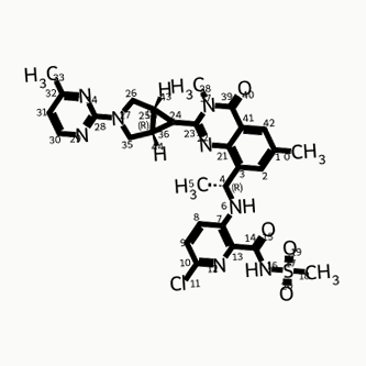 Cc1cc([C@@H](C)Nc2ccc(Cl)nc2C(=O)NS(C)(=O)=O)c2nc(C3[C@H]4CN(c5nccc(C)n5)C[C@@H]34)n(C)c(=O)c2c1